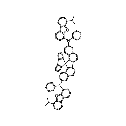 CC(C)c1cccc2c1oc1c(N(c3ccccc3)c3ccc4c5c(ccc4c3)-c3ccc4cc(N(c6ccccc6)c6cccc7c6oc6c(C(C)C)cccc67)ccc4c3C53c4ccccc4-c4ccccc43)cccc12